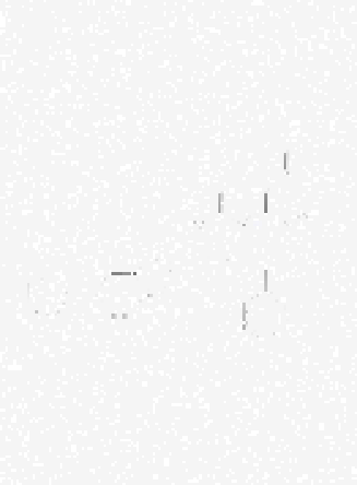 C=CN/C(N=C)=C(\C(=C)NC)N(CCc1nc2cc(N3CCCC3)ccc2[nH]1)Cc1ccccc1